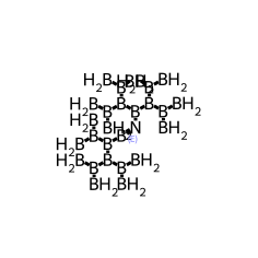 BB(B)B(/B=N/B(B(B(B)B)B(B)B)B(B(B)B)B(B)B)B(B(B)B)B(B)B